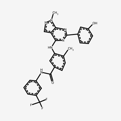 Cc1ccc(C(=O)Nc2cccc(C(F)(F)F)c2)cc1Nc1nc(-c2cccc(O)c2)nc2c1cnn2C